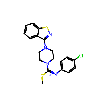 CS/C(=N/c1ccc(Cl)cc1)N1CCN(c2nsc3ccccc23)CC1